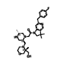 C[C@@H]1CN(CC(=O)N2CC(C)(C)c3cnc(Cc4ccc(F)cc4)cc32)[C@@H](CN2CCOC[C@@]2(C)CO)CN1